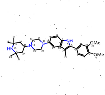 COc1ccc(-c2[nH]c3ccc(N4CCN(C5CC(C)(C)NC(C)(C)C5)CC4)cc3c2C)cc1OC